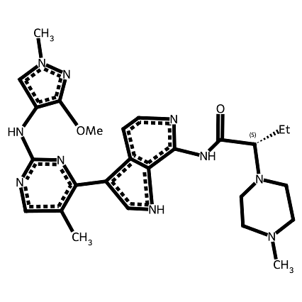 CC[C@@H](C(=O)Nc1nccc2c(-c3nc(Nc4cn(C)nc4OC)ncc3C)c[nH]c12)N1CCN(C)CC1